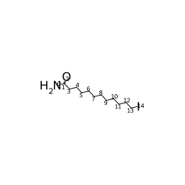 NC(=O)CCCCCCCCCCCI